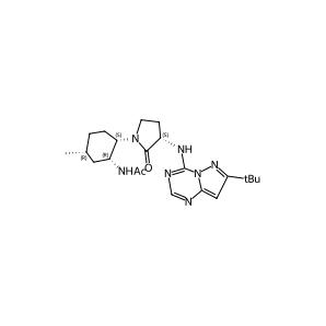 CC(=O)N[C@@H]1C[C@H](C)CC[C@@H]1N1CC[C@H](Nc2ncnc3cc(C(C)(C)C)nn23)C1=O